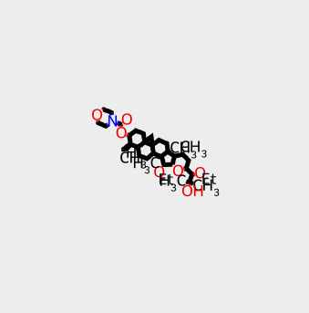 C/C=C1/C(OC(=O)N2CCOCC2)CCC23CC24CCC2(C)C5C(OC(C(OCC)C(C)(C)O)C[C@H]5C)[C@H](OCC)[C@@]2(C)C4CC[C@@H]13